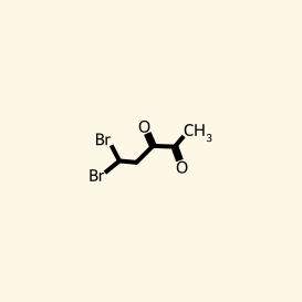 CC(=O)C(=O)CC(Br)Br